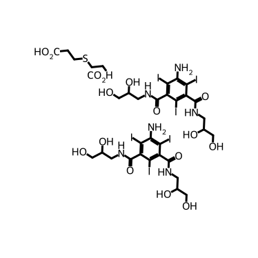 Nc1c(I)c(C(=O)NCC(O)CO)c(I)c(C(=O)NCC(O)CO)c1I.Nc1c(I)c(C(=O)NCC(O)CO)c(I)c(C(=O)NCC(O)CO)c1I.O=C(O)CCSCCC(=O)O